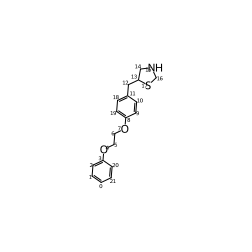 c1ccc(OCCOc2ccc(CC3CNCS3)cc2)cc1